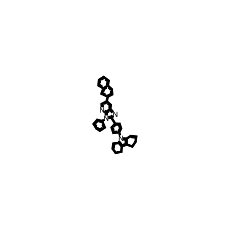 C1=Cc2c(c3c(n2-c2ccc(-c4nc5cc(-c6ccc7ccccc7c6)cnc5n4-c4ccccc4)cc2)C=CCC3)CC1